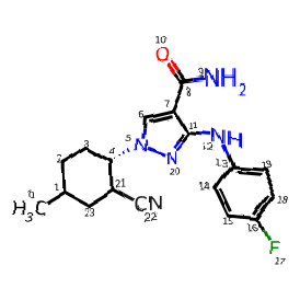 CC1CC[C@H](n2cc(C(N)=O)c(Nc3ccc(F)cc3)n2)C(C#N)C1